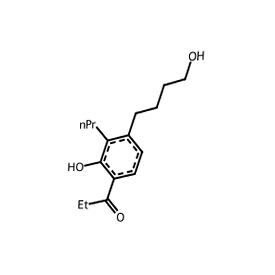 CCCc1c(CCCCO)ccc(C(=O)CC)c1O